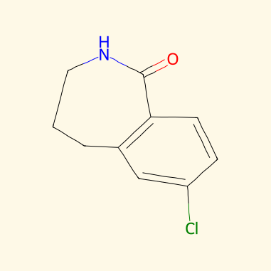 O=C1NCCCc2cc(Cl)ccc21